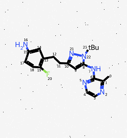 Cc1nccnc1Nc1cc(CCc2cc(N)ccc2F)nn1C(C)(C)C